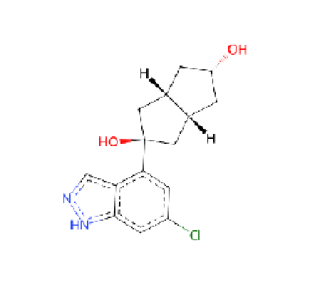 O[C@@H]1C[C@@H]2C[C@](O)(c3cc(Cl)cc4[nH]ncc34)C[C@@H]2C1